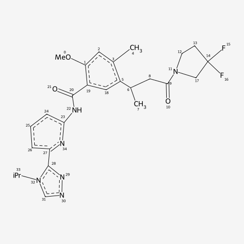 COc1cc(C)c(C(C)CC(=O)N2CCC(F)(F)C2)cc1C(=O)Nc1cccc(-c2nncn2C(C)C)n1